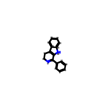 c1ccc(C2=NCCc3c2[nH]c2ccccc32)cc1